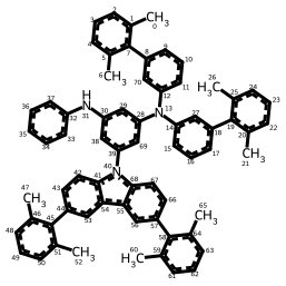 Cc1cccc(C)c1-c1cccc(N(c2cccc(-c3c(C)cccc3C)c2)c2cc(Nc3ccccc3)cc(-n3c4ccc(-c5c(C)cccc5C)cc4c4cc(-c5c(C)cccc5C)ccc43)c2)c1